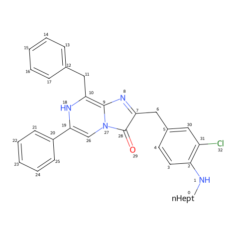 CCCCCCCNc1ccc(Cc2nc3c(Cc4ccccc4)[nH]c(-c4ccccc4)cn-3c2=O)cc1Cl